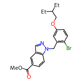 CCC(CC)COc1ccc(Br)c(Cn2ncc3cc(C(=O)OC)ccc32)c1